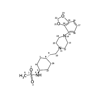 CS(=O)(=O)N[C@H]1CC[C@H](CCN2CCN(c3cccc4c3OCO4)CC2)CC1